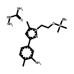 Cc1ccc(-c2cc(C)n(CCO[Si](C)(C)C(C)(C)C)n2)cc1N.NNC(N)=O